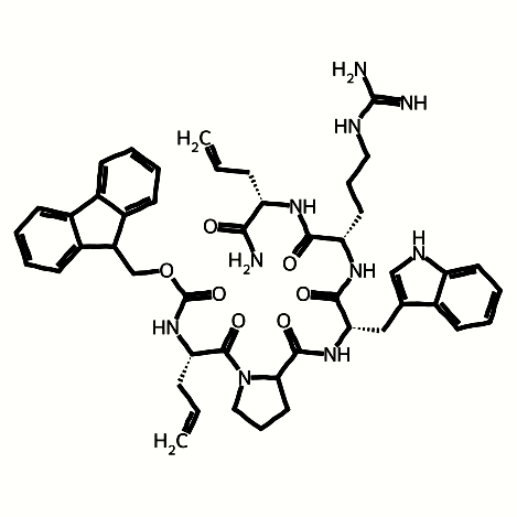 C=CC[C@H](NC(=O)[C@H](CCCNC(=N)N)NC(=O)[C@H](Cc1c[nH]c2ccccc12)NC(=O)C1CCCN1C(=O)[C@H](CC=C)NC(=O)OCC1c2ccccc2-c2ccccc21)C(N)=O